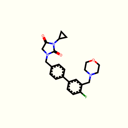 O=C1CN(Cc2ccc(-c3ccc(F)c(CN4CCOCC4)c3)cc2)C(=O)N1C1CC1